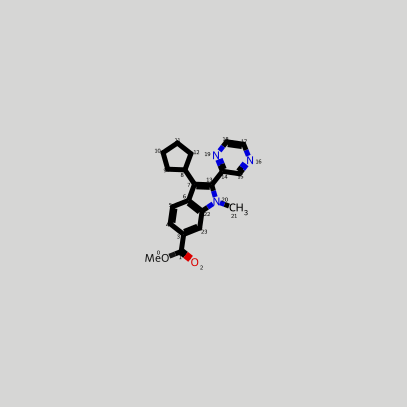 COC(=O)c1ccc2c(C3CCCC3)c(-c3cnccn3)n(C)c2c1